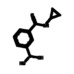 O=C(NC1CC1)c1cccc(B(O)O)c1